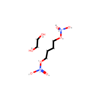 O=[N+]([O-])OCCCCO[N+](=O)[O-].OCCO